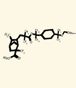 COCOC(C1CCC(C(OC(=O)C(C)(CC2C(C)C3CC2C(C(=O)OC)(C(F)(F)F)C3)C(F)(F)F)(C(F)(F)F)C(F)(F)F)CC1)(C(F)(F)F)C(F)(F)F